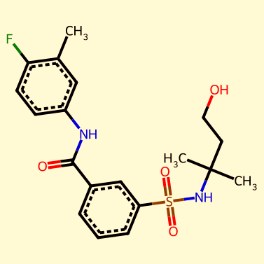 Cc1cc(NC(=O)c2cccc(S(=O)(=O)NC(C)(C)CCO)c2)ccc1F